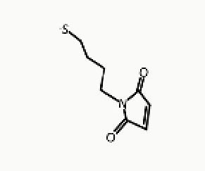 O=C1C=CC(=O)N1CCCC[S]